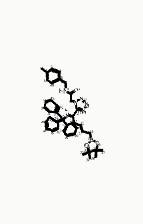 Cc1ccc(CNC(=O)Cn2nnnc2C(CCCCB2OC(C)(C)C(C)(C)O2)NC(c2ccccc2)(c2ccccc2)c2ccccc2)cc1